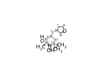 CC1(C)CC(Cc2ccoc2)CC(C)(C)N1O